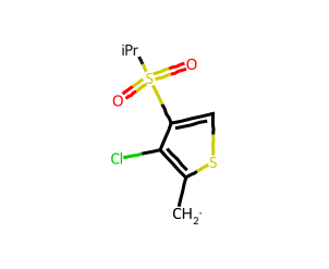 [CH2]c1scc(S(=O)(=O)C(C)C)c1Cl